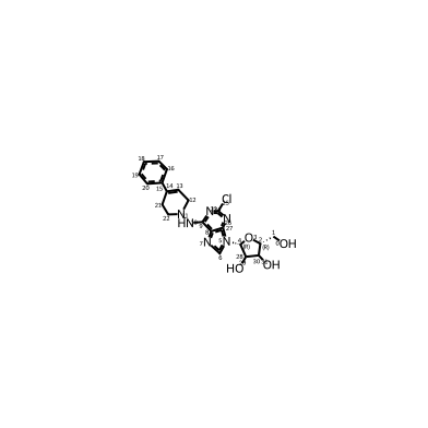 OC[C@H]1O[C@@H](n2cnc3c(NN4CC=C(c5ccccc5)CC4)nc(Cl)nc32)C(O)C1O